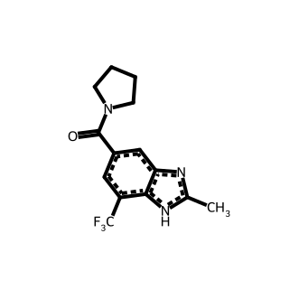 Cc1nc2cc(C(=O)N3CCCC3)cc(C(F)(F)F)c2[nH]1